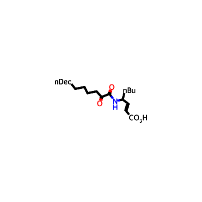 CCCCCCCCCCCCCCC(=O)C(=O)NC(/C=C/C(=O)O)CCCC